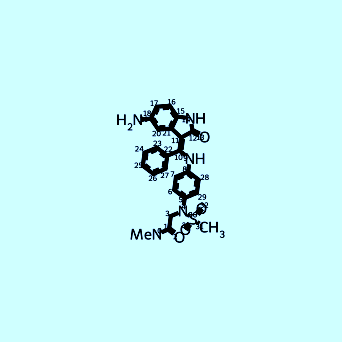 CNC(=O)CN(c1ccc(N/C(=C2\C(=O)Nc3ccc(N)cc32)c2ccccc2)cc1)S(C)(=O)=O